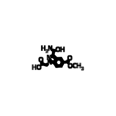 COC(=O)c1ccc2c(c1)c(C(N)O)nn2CC(=O)O